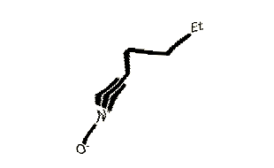 CCCCC#[N+][O-]